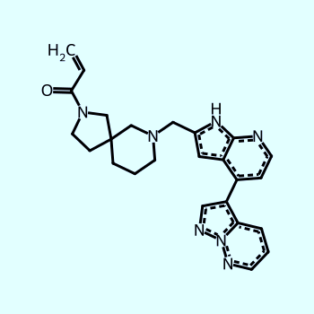 C=CC(=O)N1CCC2(CCCN(Cc3cc4c(-c5cnn6ncccc56)ccnc4[nH]3)C2)C1